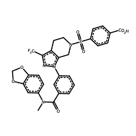 CN(C(=O)c1cccc(-n2nc(C(F)(F)F)c3c2CN(S(=O)(=O)c2ccc(C(=O)O)cc2)CC3)c1)c1ccc2c(c1)OCO2